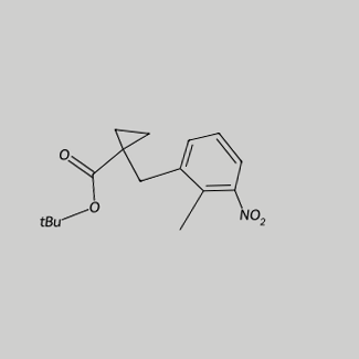 Cc1c(CC2(C(=O)OC(C)(C)C)CC2)cccc1[N+](=O)[O-]